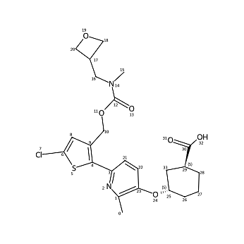 Cc1nc(-c2sc(Cl)cc2COC(=O)N(C)CC2COC2)ccc1O[C@H]1CCC[C@H](C(=O)O)C1